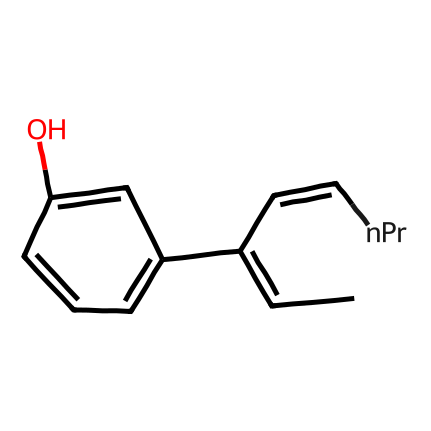 C/C=C(\C=C/CCC)c1cccc(O)c1